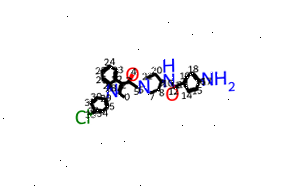 Cc1c(C(=O)CN2CCC(NC(=O)c3ccc(N)cc3)CC2)c2ccccc2n1-c1ccc(Cl)cc1